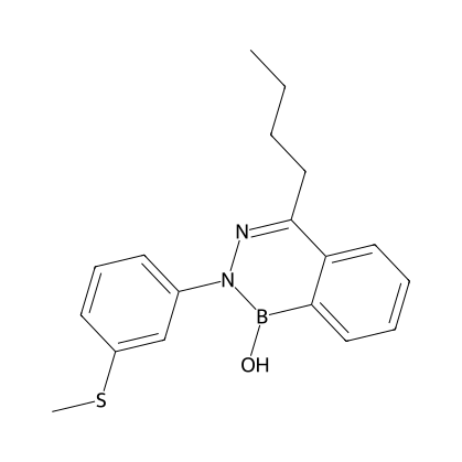 CCCCC1=NN(c2cccc(SC)c2)B(O)c2ccccc21